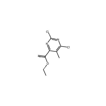 C=C(OCC)c1nc(Cl)nc(Cl)c1C